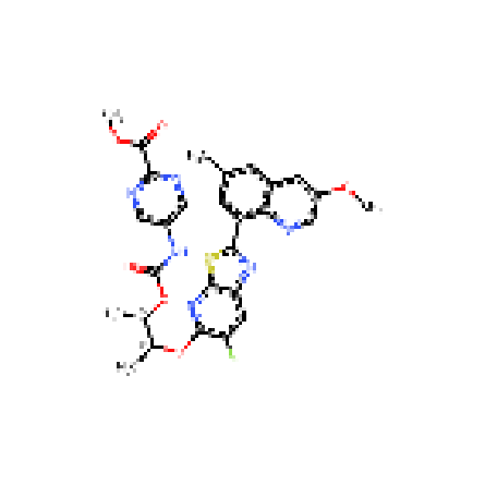 COC(=O)c1ncc(NC(=O)O[C@H](C)[C@H](C)Oc2nc3sc(-c4cc(C)cc5cc(OC)cnc45)nc3cc2F)cn1